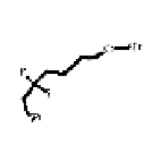 CC(C)CC(F)(F)CCCCOC(C)C